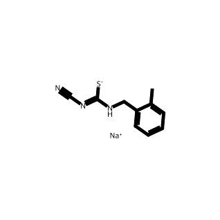 Cc1ccccc1CN/C([S-])=N/C#N.[Na+]